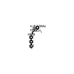 COc1cc(C)c(S(=O)(=O)NCCC(=O)Nc2ccc(-c3ccc(-c4ccccn4)cc3)cc2)c(C)c1